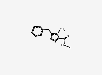 Cn1c(Cc2ccccc2)nnc1C(=O)NI